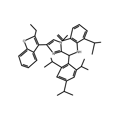 C=Cc1cccc(C(C)C)c1NC(c1c(C(C)C)cc(C(C)C)cc1C(C)C)c1nc(-c2c(CC)oc3ccccc23)cn1C